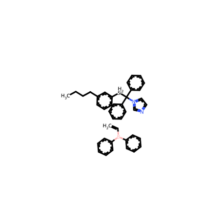 C=CB(c1ccccc1)c1ccccc1.CCCCc1cccc([SiH2]C(c2ccccc2)(c2ccccc2)n2ccnc2)c1